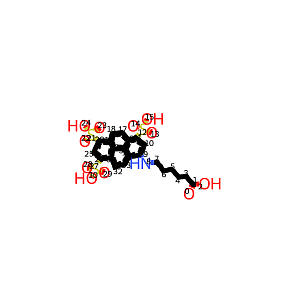 O=C(O)CCCCCNc1cc(S(=O)(=O)O)c2ccc3c(S(=O)(=O)O)cc(S(=O)(=O)O)c4ccc1c2c43